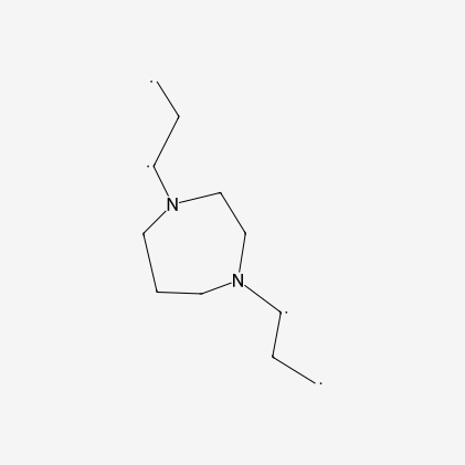 [CH2]C[CH]N1CCCN([CH]C[CH2])CC1